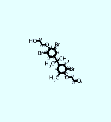 Cc1cc(C(C)(C)c2cc(Br)c(OCCO)c(Br)c2)cc(Br)c1OCC=O